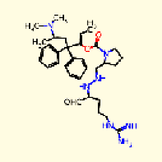 C/C=C(\OC(=O)N1CCCC1CNN[C@H](C=O)CCCNC(=N)N)C(CC(C)N(C)C)(c1ccccc1)c1ccccc1